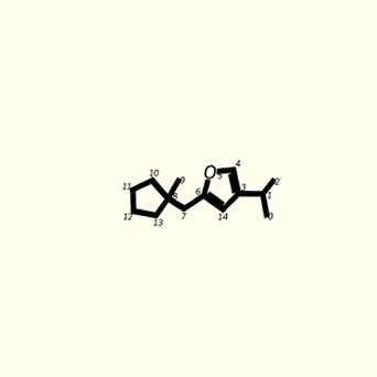 CC(C)c1coc(CC2(C)CCCC2)c1